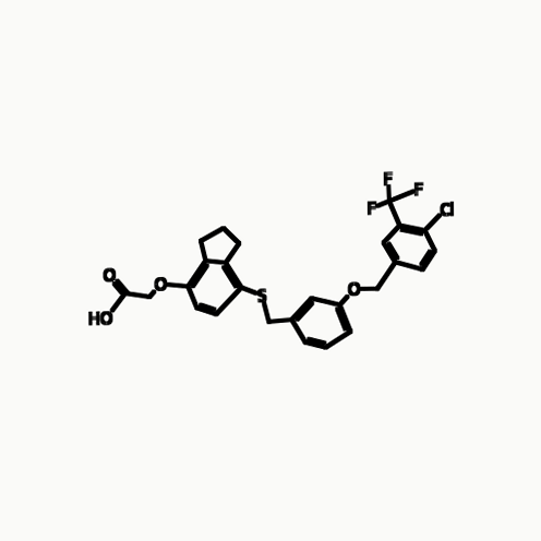 O=C(O)COc1ccc(SCc2cccc(OCc3ccc(Cl)c(C(F)(F)F)c3)c2)c2c1CCC2